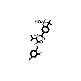 CC(C)C(NC(=O)c1ccc2c(c1)B(O)OC2(C)C)C(=O)OCc1ccc(F)cc1F